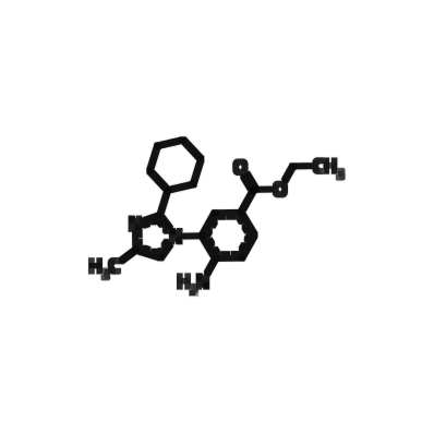 CCOC(=O)c1ccc(N)c(-n2cc(C)nc2C2CCCCC2)c1